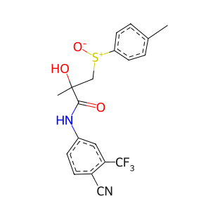 Cc1ccc([S+]([O-])CC(C)(O)C(=O)Nc2ccc(C#N)c(C(F)(F)F)c2)cc1